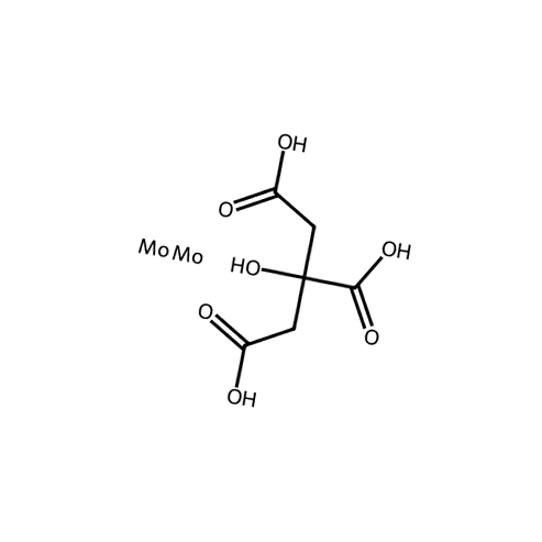 O=C(O)CC(O)(CC(=O)O)C(=O)O.[Mo].[Mo]